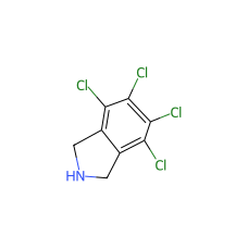 Clc1c(Cl)c(Cl)c2c(c1Cl)CNC2